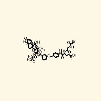 C[C@]12C=CC(=O)C=C1CC[C@@H]1[C@@H]2[C@@H](O)C[C@@]2(C)[C@H]1C[C@H]1O[C@@H](c3cccc(OCc4ccc(NC(=O)[C@H](CCC(=O)O)NC(=O)CNC(=O)CBr)cc4)c3)O[C@]12C(=O)COP(=O)(O)O